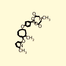 C=C1CC[C@@H](Oc2ccc(B3OC(=O)CN(C)CC(=O)O3)cc2)C/C=C\C=C/1Oc1cccc(C)n1